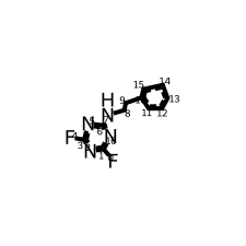 Fc1nc(F)nc(NCCc2ccccc2)n1